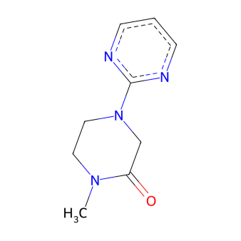 CN1CCN(c2ncccn2)CC1=O